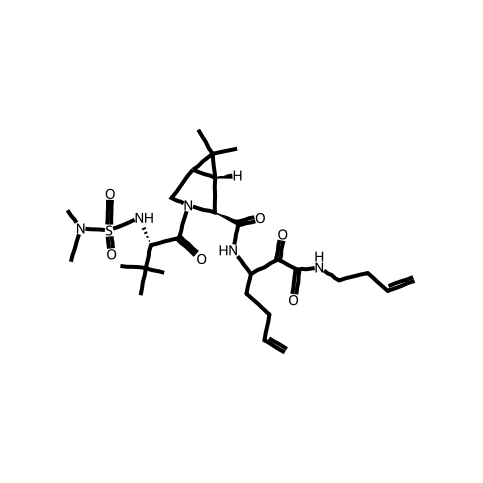 C=CCCNC(=O)C(=O)C(CCC=C)NC(=O)[C@@H]1[C@@H]2C(CN1C(=O)[C@@H](NS(=O)(=O)N(C)C)C(C)(C)C)C2(C)C